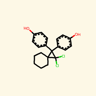 Oc1ccc(C2(c3ccc(O)cc3)C(Cl)(Cl)C23CCCCC3)cc1